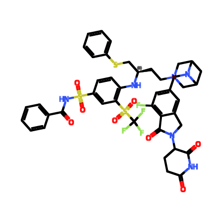 O=C1CCC(N2Cc3cc(CN4C5CC4CN(CC[C@H](CSc4ccccc4)Nc4ccc(S(=O)(=O)NC(=O)c6ccccc6)cc4S(=O)(=O)C(F)(F)F)C5)cc(F)c3C2=O)C(=O)N1